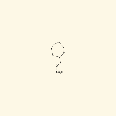 O=C(O)OCC1C=CCCCC1